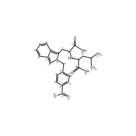 CC(C)CC(NC(Cc1c2ccccc2cn1Cc1ccc([N+](=O)[O-])cc1)C(=O)O)C(=O)O